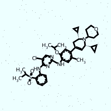 Cc1cc(Nc2ncc(Cl)c(Nc3ccccc3S(=O)(=O)C(C)C)n2)c(OC(C)C)cc1C1=C[C@@H](C2CC2)N(C2CCOCC2)[C@@H](C2CC2)C1